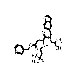 CC(C)CN(Cc1ccc2occc2c1)C(=O)[C@H](CC(=O)OCc1cccnc1)NCCC(C)(C)C